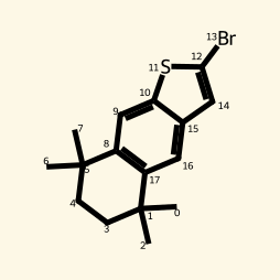 CC1(C)CCC(C)(C)c2cc3sc(Br)cc3cc21